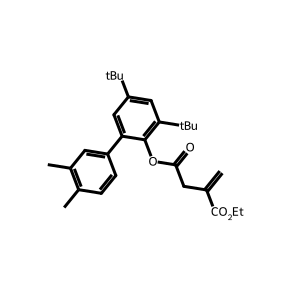 C=C(CC(=O)Oc1c(-c2ccc(C)c(C)c2)cc(C(C)(C)C)cc1C(C)(C)C)C(=O)OCC